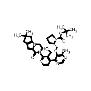 CC1(C)Cc2cc3n(c2C1)CCN(c1nccc(-c2ncnc(N)c2OC[C@@H]2CCCN2C(=O)OC(C)(C)C)c1CO)C3=O